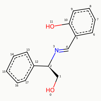 OC[C@H](/N=C/c1ccccc1O)c1ccccc1